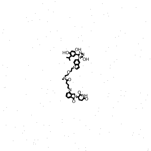 CC(C)c1cc(-c2nnc(O)n2-c2ccc3c(ccn3CCOCCN(C)C(=O)CC/C=N/c3cccc4c3CN(C3CCC(=O)NC3=O)C4=O)c2)c(O)cc1O